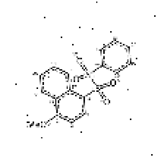 COc1ccc(S(=O)(=O)S(=O)(=O)c2ccccc2)c2ccccc12